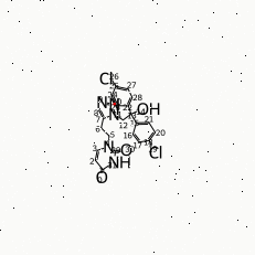 O=c1ccn(CCc2cnnn2CC(O)(c2ccc(Cl)cc2)c2ccc(Cl)cc2)c(=O)[nH]1